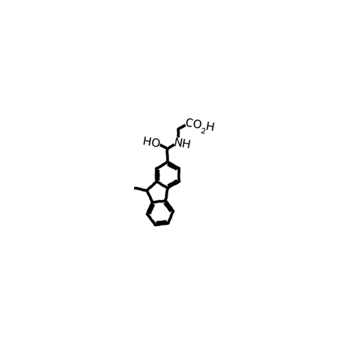 CC1c2ccccc2-c2ccc(C(O)NCC(=O)O)cc21